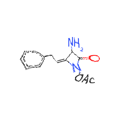 CC(=O)ON1C(=O)C(N)/C1=C\Cc1ccccc1